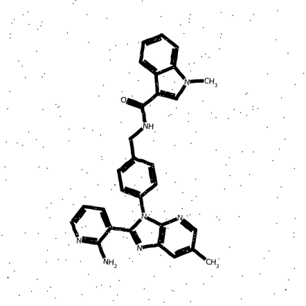 Cc1cnc2c(c1)nc(-c1cccnc1N)n2-c1ccc(CNC(=O)c2cn(C)c3ccccc23)cc1